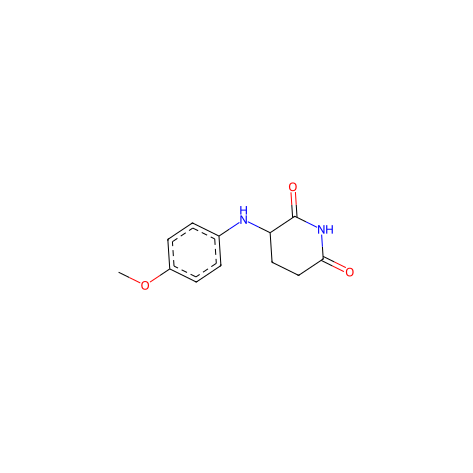 COc1ccc(NC2CCC(=O)NC2=O)cc1